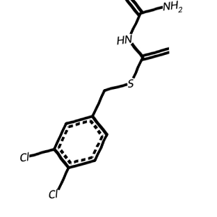 C=C(N)NC(=C)SCc1ccc(Cl)c(Cl)c1